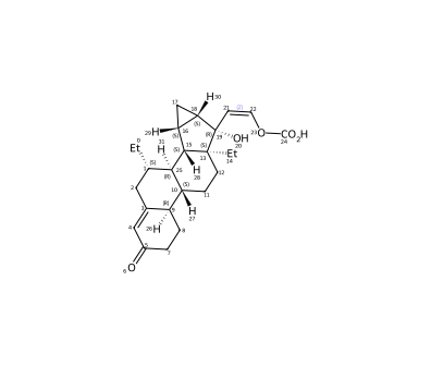 CC[C@H]1CC2=CC(=O)CC[C@@H]2[C@H]2CC[C@@]3(CC)[C@@H]([C@@H]4C[C@@H]4[C@@]3(O)/C=C\OC(=O)O)[C@H]12